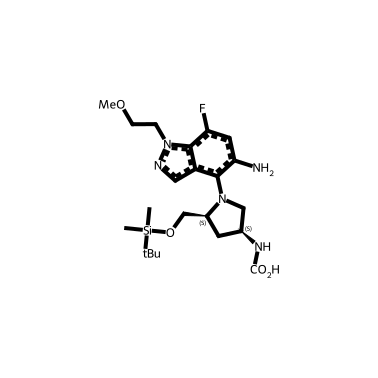 COCCn1ncc2c(N3C[C@@H](NC(=O)O)C[C@H]3CO[Si](C)(C)C(C)(C)C)c(N)cc(F)c21